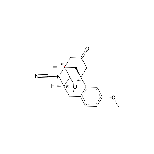 COc1ccc2c(c1)[C@]13CCN(C#N)[C@H](C2)C1(OC)[C@H](C)CC(=O)C3